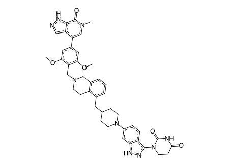 COc1cc(-c2cn(C)c(=O)c3[nH]ncc23)cc(OC)c1CN1CCc2c(CC3CCN(c4ccc5c(N6CCC(=O)NC6=O)n[nH]c5c4)CC3)cccc2C1